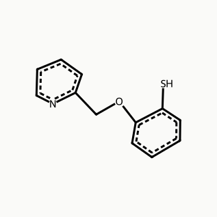 Sc1ccccc1OCc1ccccn1